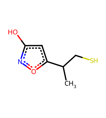 CC(CS)c1cc(O)no1